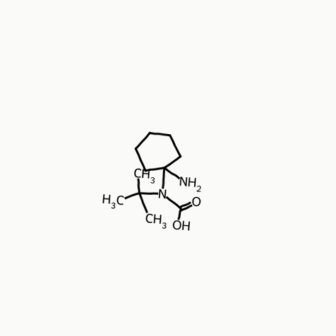 CC(C)(C)N(C(=O)O)C1(N)CCCCC1